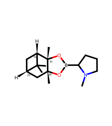 CN1CCCC1B1O[C@]2(C)C[C@@H]3C[C@@H](C3(C)C)[C@]2(C)O1